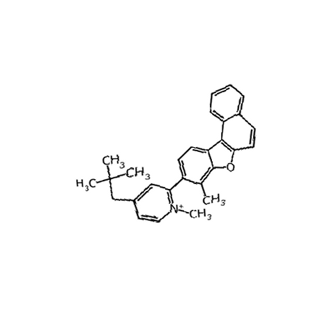 Cc1c(-c2cc(CC(C)(C)C)cc[n+]2C)ccc2c1oc1ccc3ccccc3c12